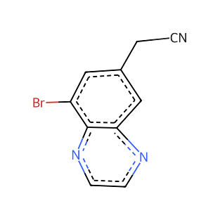 N#CCc1cc(Br)c2nccnc2c1